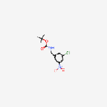 CC(C)(C)OC(=O)NCc1cc(Cl)cc([N+](=O)[O-])c1